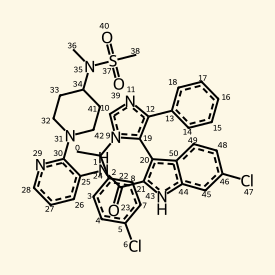 CC(c1ccc(Cl)cc1)n1cnc(-c2ccccc2)c1-c1c(C(=O)Nc2cccnc2N2CCC(N(C)S(C)(=O)=O)CC2)[nH]c2cc(Cl)ccc12